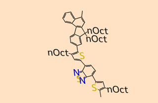 CCCCCCCCc1cc(-c2ccc(-c3cc(CCCCCCCC)c(-c4ccc5c(c4)C(CCCCCCCC)(CCCCCCCC)c4cc(C)c6ccccc6c4-5)s3)c3nsnc23)sc1C